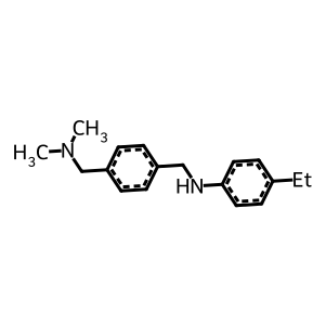 CCc1ccc(NCc2ccc(CN(C)C)cc2)cc1